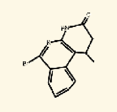 CC1CC(=O)Nc2nc(Br)c3ccccc3c21